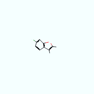 CCc1c(C(=O)O)oc2cc(Br)ccc12